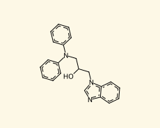 OC(CN(c1ccccc1)c1ccccc1)Cn1cnc2ccccc21